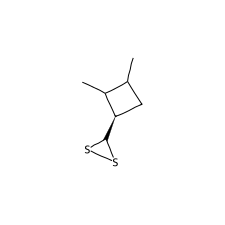 CC1C[C@@H](C2SS2)C1C